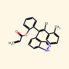 C=CC(=O)Oc1ccccc1/C(=C(\CC)c1ccccc1C)c1cccc2[nH]ncc12